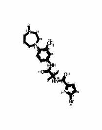 CN1CCCN(c2ccc(NC(=O)C(C)(C)NC(=O)c3ccc(Br)s3)cc2C(F)(F)F)CC1